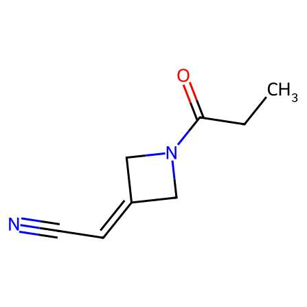 CCC(=O)N1CC(=CC#N)C1